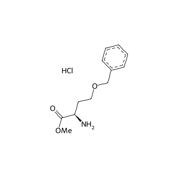 COC(=O)[C@H](N)CCOCc1ccccc1.Cl